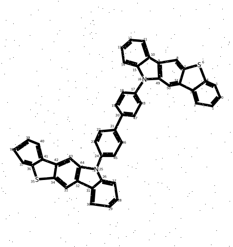 c1ccc2c(c1)sc1cc3c4ccccc4n(-c4ccc(-c5ccc(-n6c7ccccc7c7cc8sc9ccccc9c8cc76)cc5)cc4)c3cc12